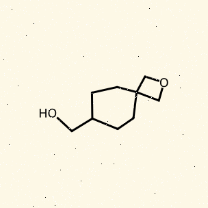 OCC1CCC2(CC1)COC2